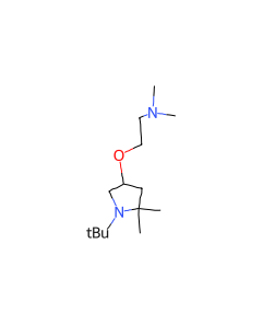 CN(C)CCOC1CN(C(C)(C)C)C(C)(C)C1